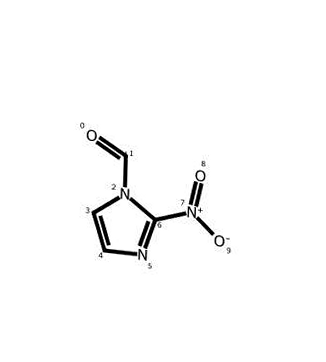 O=[C]n1ccnc1[N+](=O)[O-]